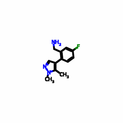 Cc1c(-c2ccc(F)cc2CN)cnn1C